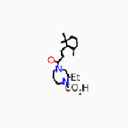 CCC1CN(C(=O)C=CC2=C(C)CCCC2(C)C)CCCN1C(=O)O